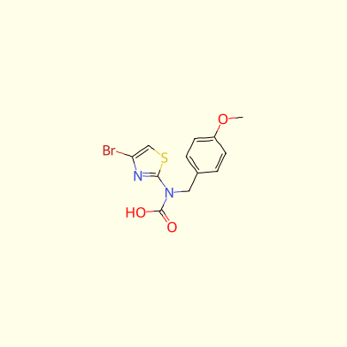 COc1ccc(CN(C(=O)O)c2nc(Br)cs2)cc1